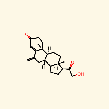 C=C1C[C@H]2[C@@H]3CC[C@H](C(=O)CO)[C@@]3(C)CC[C@@H]2[C@@]2(C)CCC(=O)C=C12